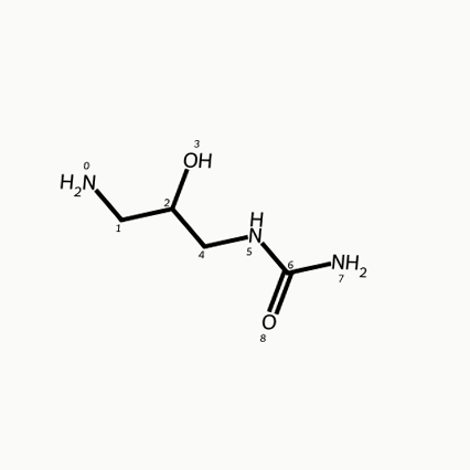 NCC(O)CNC(N)=O